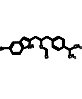 CC(C)c1ccc(CC(Cc2cc3cc(Br)ccc3[nH]2)OC=O)cc1